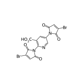 O=C(O)c1cc(N2C(=O)C=C(Br)C2=O)cnc1N1C(=O)C=C(Br)C1=O